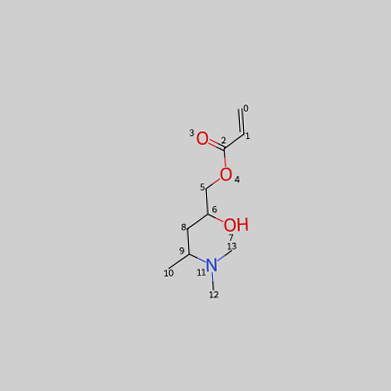 C=CC(=O)OCC(O)CC(C)N(C)C